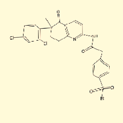 CCS(=O)(=O)c1ccc(CC(=O)Nc2ccc3c(n2)CCC(C)(c2ccc(Cl)cc2Cl)C3=O)cc1